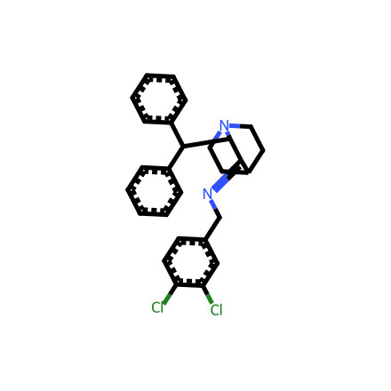 Clc1ccc(CN=C2C3CCN(CC3)C2C(c2ccccc2)c2ccccc2)cc1Cl